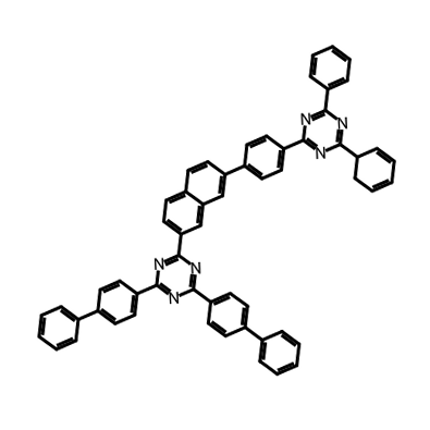 C1=CCC(c2nc(-c3ccccc3)nc(-c3ccc(-c4ccc5ccc(-c6nc(-c7ccc(-c8ccccc8)cc7)nc(-c7ccc(-c8ccccc8)cc7)n6)cc5c4)cc3)n2)C=C1